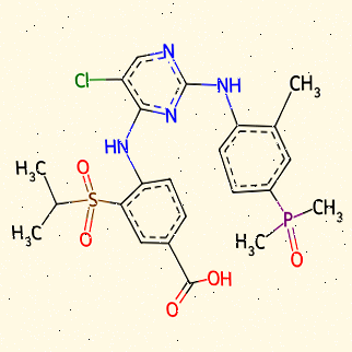 Cc1cc(P(C)(C)=O)ccc1Nc1ncc(Cl)c(Nc2ccc(C(=O)O)cc2S(=O)(=O)C(C)C)n1